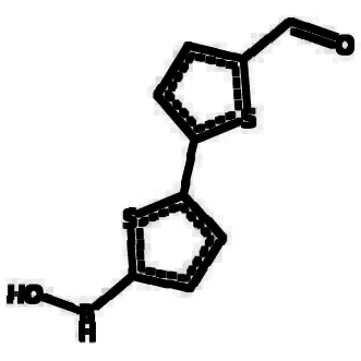 O=Cc1ccc(-c2ccc(BO)s2)s1